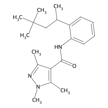 Cc1nn(C)c(C)c1C(=O)Nc1ccccc1C(C)CC(C)(C)C